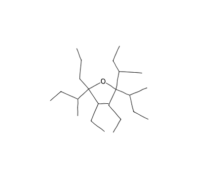 CCCC(OC(CCC)(C(C)CC)C(C)CC)(C(C)CC)C(C)CC